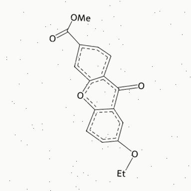 CCOc1ccc2oc3cc(C(=O)OC)ccc3c(=O)c2c1